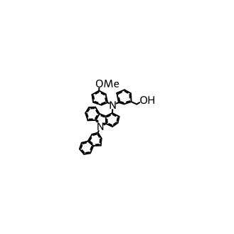 COc1cccc(N(c2cccc(CO)c2)c2cccc3c2c2ccccc2n3-c2ccc3ccccc3c2)c1